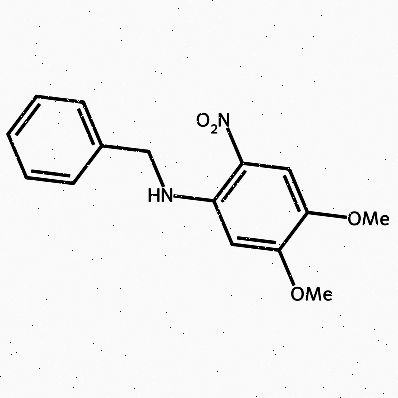 COc1cc(NCc2ccccc2)c([N+](=O)[O-])cc1OC